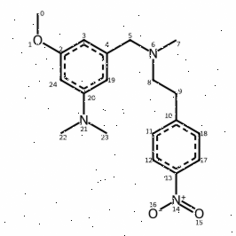 COc1[c]c(CN(C)CCc2ccc([N+](=O)[O-])cc2)cc(N(C)C)c1